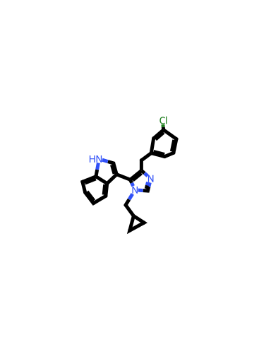 Clc1cccc(Cc2ncn(CC3CC3)c2-c2c[nH]c3ccccc23)c1